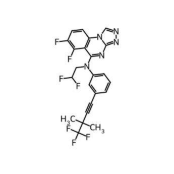 CC(C)(C#Cc1cccc(N(CC(F)F)c2nc3nncn3c3ccc(F)c(F)c23)c1)C(F)(F)F